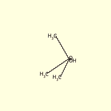 CCCCCCCCCCCCCCCCCCCCCCC(CCCCCCCCCCCCCCCC)(CCCCCCCCCCCCCCCCCCCCCC)C(=O)O